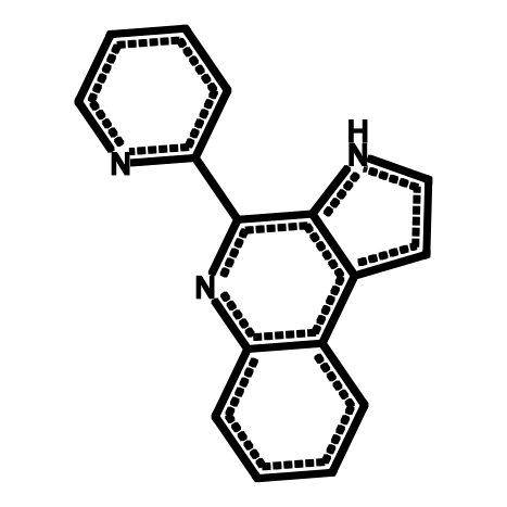 c1ccc(-c2nc3ccccc3c3cc[nH]c23)nc1